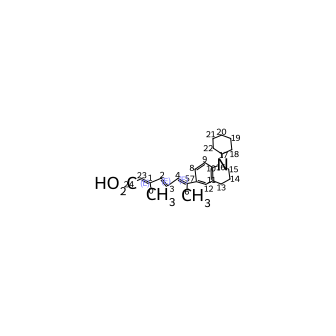 CC(/C=C/C=C(\C)c1ccc2c(c1)CCCN2C1CCCCC1)=C\C(=O)O